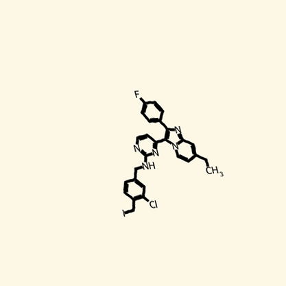 CCc1ccn2c(-c3ccnc(NCc4ccc(CI)c(Cl)c4)n3)c(-c3ccc(F)cc3)nc2c1